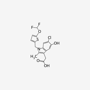 Cc1c(CC(=O)O)c2cc(O)c(Cl)cc2n1Cc1ccc(OC(F)F)s1